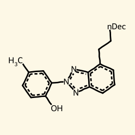 CCCCCCCCCCCCc1cccc2nn(-c3cc(C)ccc3O)nc12